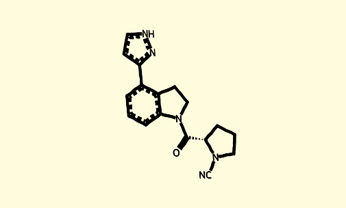 N#CN1CCC[C@H]1C(=O)N1CCc2c(-c3cc[nH]n3)cccc21